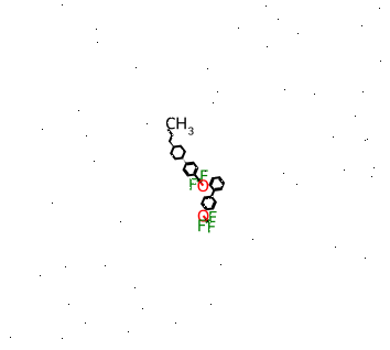 CCCC[C@H]1CC[C@H](c2ccc(C(F)(F)Oc3ccccc3-c3ccc(OC(F)(F)F)cc3)cc2)CC1